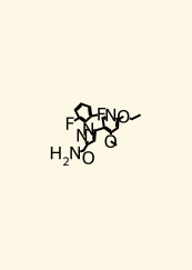 CCOc1cc(OC)c(-c2cc(C(N)=O)nn2-c2c(F)cccc2F)cn1